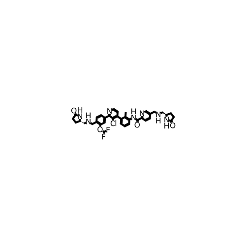 Cc1c(NC(=O)c2ccc(CNC[C@H]3CCC(=O)N3)cn2)cccc1-c1ccnc(-c2ccc(CNC[C@@H]3CCC(=O)N3)c(OC(F)F)c2)c1Cl